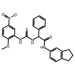 COc1ccc([N+](=O)[O-])cc1NC(=S)NC(C(=O)Nc1ccc2c(c1)CCC2)c1ccccc1